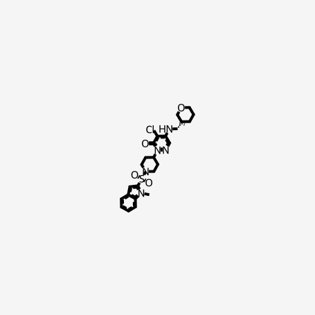 Cn1c(S(=O)(=O)N2CCC(n3ncc(NC[C@H]4CCCOC4)c(Cl)c3=O)CC2)cc2ccccc21